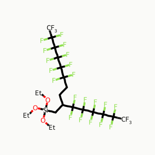 CCO[Si](CC(CCC(F)(F)C(F)(F)C(F)(F)C(F)(F)C(F)(F)C(F)(F)F)C(F)(F)C(F)(F)C(F)(F)C(F)(F)C(F)(F)C(F)(F)F)(OCC)OCC